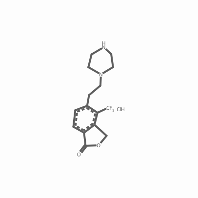 Cl.O=C1OCc2c1ccc(CCN1CCNCC1)c2C(F)(F)F